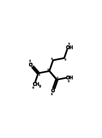 CC(=O)C(CCO)C(=O)O